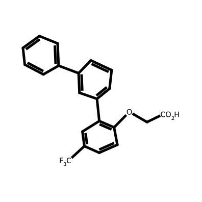 O=C(O)COc1ccc(C(F)(F)F)cc1-c1cccc(-c2ccccc2)c1